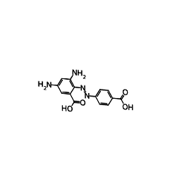 Nc1cc(N)c(N=Nc2ccc(C(=O)O)cc2)c(C(=O)O)c1